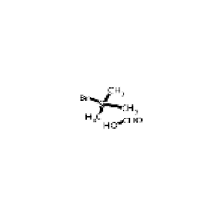 C[Si](C)(C)Br.O=CO